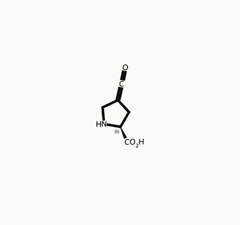 O=C=C1CN[C@H](C(=O)O)C1